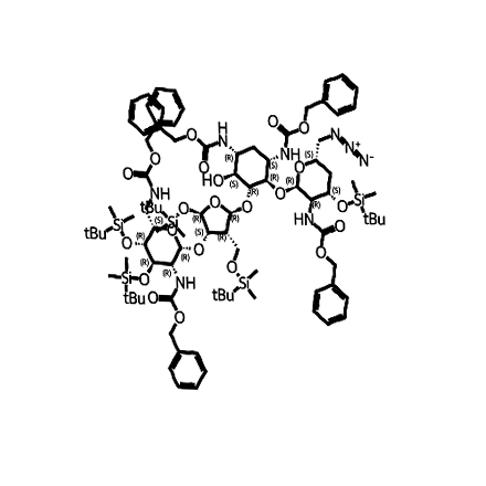 CC(C)(C)[Si](C)(C)OC[C@H]1[C@H](O[C@@H]2[C@@H](O)[C@H](NC(=O)OCc3ccccc3)C[C@H](NC(=O)OCc3ccccc3)[C@H]2O[C@H]2O[C@H](CN=[N+]=[N-])C[C@H](O[Si](C)(C)C(C)(C)C)[C@H]2NC(=O)OCc2ccccc2)O[C@H](O[Si](C)(C)C(C)(C)C)[C@H]1O[C@H]1O[C@@H](CNC(=O)OCc2ccccc2)[C@@H](O[Si](C)(C)C(C)(C)C)[C@H](O[Si](C)(C)C(C)(C)C)[C@H]1NC(=O)OCc1ccccc1